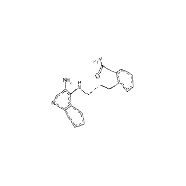 NC(=O)c1ccccc1CCCNc1c(N)cnc2ccccc12